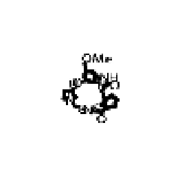 COCc1cc2c3nc(c(=O)[nH]c3c1)-c1cccc3c(=O)n(sc13)CCN1CC[C@@H](C1)O2